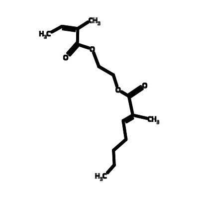 CC=C(C)C(=O)OCCOC(=O)C(C)=CCCCC